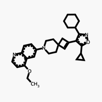 CCOc1ccnc2ccc(N3CCC4(C=C(c5c(C6CCCCC6)noc5C5CC5)C4)CC3)cc12